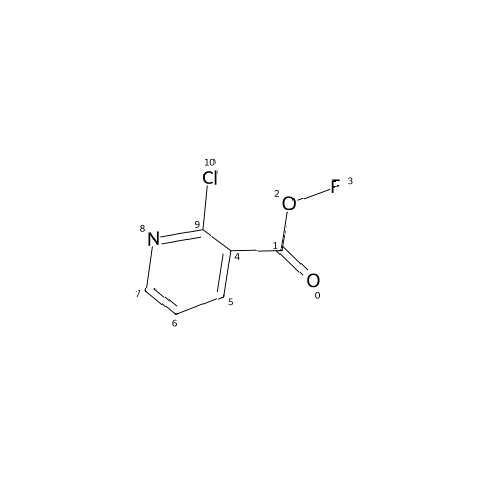 O=C(OF)c1cccnc1Cl